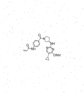 C=CC(=O)Nc1ccc(C(=O)N2CC[C@@H](Nc3ncc(C4CC4)c(OC)n3)C2)cc1